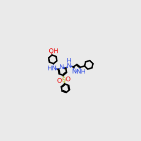 O=S(=O)(c1ccccc1)c1cc(Nc2cc(C3CCCCC3)[nH]n2)nc(N[C@H]2CC[C@H](O)CC2)c1